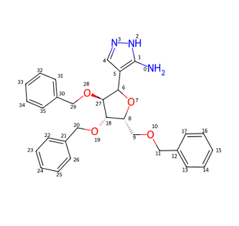 Nc1[nH]ncc1C1O[C@H](COCc2ccccc2)[C@H](OCc2ccccc2)[C@H]1OCc1ccccc1